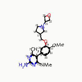 CNc1nc(N)nc(C)c1-c1ccc(OC)c(OCC2CCN(C3COC3)C2)c1